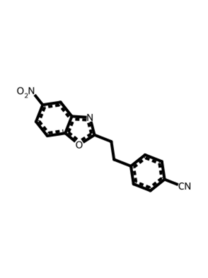 N#Cc1ccc(CCc2nc3cc([N+](=O)[O-])ccc3o2)cc1